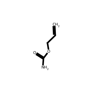 C=C[CH]OC(N)=O